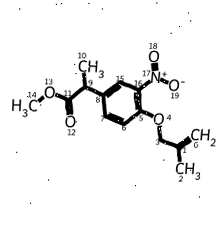 C=C(C)COc1ccc(C(C)C(=O)OC)cc1[N+](=O)[O-]